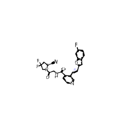 N#C[C@@H]1CC(F)(F)CN1C(=O)CNC(=O)c1ccncc1/C=C/c1cc2ccc(F)cc2o1